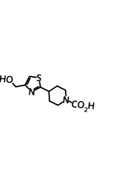 O=C(O)N1CCC(c2nc(CO)cs2)CC1